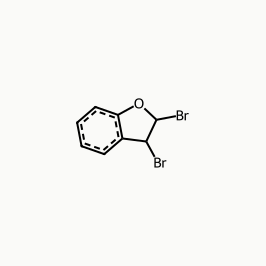 BrC1Oc2ccccc2C1Br